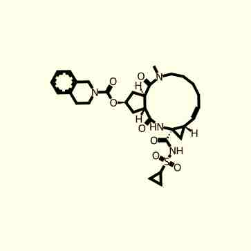 CN1CCCC/C=C\[C@@H]2C[C@@]2(C(=O)NS(=O)(=O)C2CC2)NC(=O)[C@@H]2C[C@@H](OC(=O)N3CCc4ccccc4C3)C[C@H]2C1=O